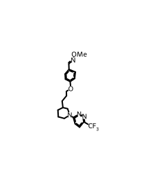 CON=Cc1ccc(OCCCC2CCCN(c3ccc(C(F)(F)F)nn3)C2)cc1